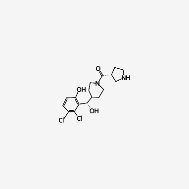 O=C([C@@H]1CCNC1)N1CCC([C@H](O)c2c(O)ccc(Cl)c2Cl)CC1